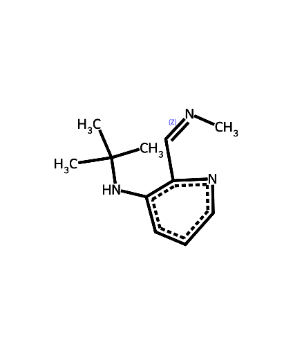 C/N=C\c1ncccc1NC(C)(C)C